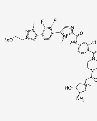 COCCn1cc(-c2ccc(-c3cnc(C(=O)Nc4ccc(C(=O)N5CCN(C(=O)C[N+]6(C)C[C@@H](N)[C@H](O)C6)CC5)c(Cl)c4)n3C)c(F)c2F)c(C)n1